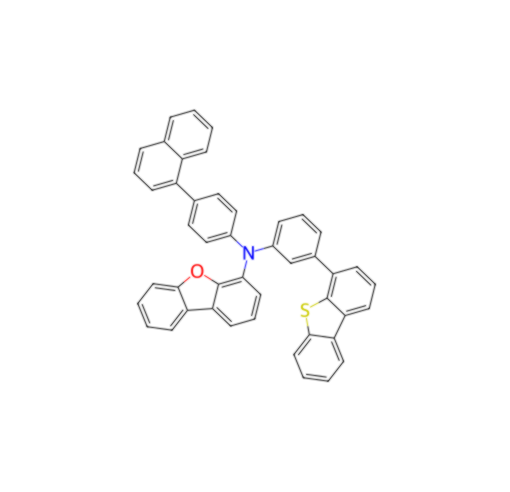 c1cc(-c2cccc3c2sc2ccccc23)cc(N(c2ccc(-c3cccc4ccccc34)cc2)c2cccc3c2oc2ccccc23)c1